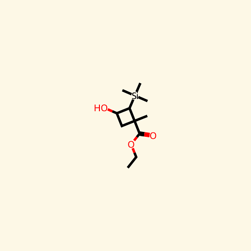 CCOC(=O)C1(C)CC(O)C1[Si](C)(C)C